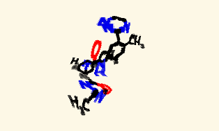 Cc1noc([C@]23C[C@H](C)C[C@H](C2)N3C(=O)Nc2ccc(C)c(-c3nccnn3)c2)n1